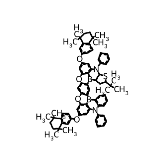 CC1(C)CCC(C)(C)c2cc(Oc3cc4c5c(c3)N(c3ccccc3)c3ccccc3B5c3cc5c(cc3O4)Oc3cc(Oc4ccc6c(c4)C(C)(C)CCC6(C)C)cc4c3B5C3CC(C(C)(C)C)SC3N4c3ccccc3)ccc21